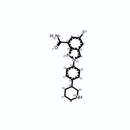 NC(=O)c1cc(F)cc2cn(-c3ccc(C4CCCNC4)cc3)nc12